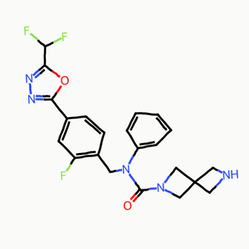 O=C(N1CC2(CNC2)C1)N(Cc1ccc(-c2nnc(C(F)F)o2)cc1F)c1ccccc1